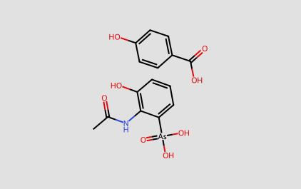 CC(=O)Nc1c(O)cccc1[As](=O)(O)O.O=C(O)c1ccc(O)cc1